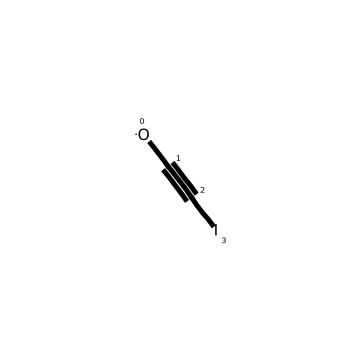 [O]C#CI